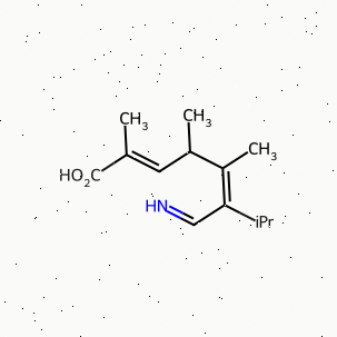 C/C(=C(/C=N)C(C)C)C(C)/C=C(\C)C(=O)O